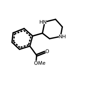 COC(=O)c1ccccc1C1CNCCN1